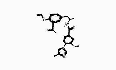 CCOc1ccc(CC(C)NC(=O)c2ccc(-n3cnc(C)c3)c(OC)c2)cc1C(C)C